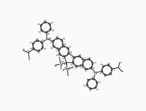 CC(C)c1ccc(N(c2ccccc2)c2ccc3cc4c(cc3c2)C([Si](C)(C)C)([Si](C)(C)C)c2cc3cc(N(c5ccccc5)c5ccc(C(C)C)cc5)ccc3cc2-4)cc1